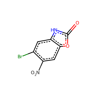 O=c1[nH]c2cc(Br)c([N+](=O)[O-])cc2o1